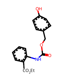 CCOC(=O)c1ccccc1NC(=O)OCc1ccc(O)cc1